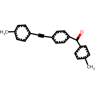 Cc1ccc(C#Cc2ccc(C(=O)c3ccc(C)cc3)cc2)cc1